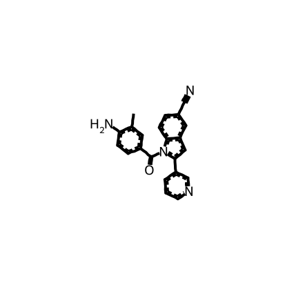 Cc1cc(C(=O)n2c(-c3cccnc3)cc3cc(C#N)ccc32)ccc1N